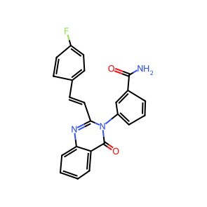 NC(=O)c1cccc(-n2c(/C=C/c3ccc(F)cc3)nc3ccccc3c2=O)c1